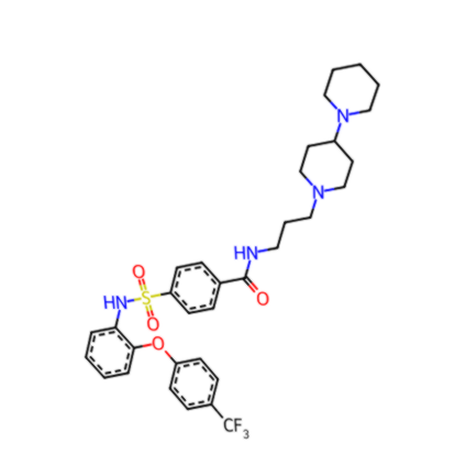 O=C(NCCCN1CCC(N2CCCCC2)CC1)c1ccc(S(=O)(=O)Nc2ccccc2Oc2ccc(C(F)(F)F)cc2)cc1